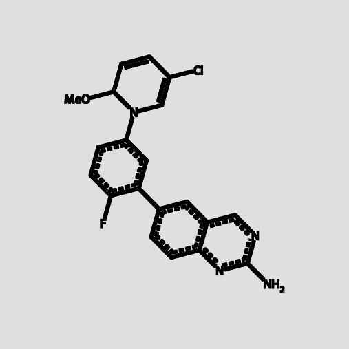 COC1C=CC(Cl)=CN1c1ccc(F)c(-c2ccc3nc(N)ncc3c2)c1